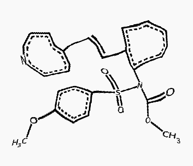 COC(=O)N(c1ccccc1C=Cc1ccncc1)S(=O)(=O)c1ccc(OC)cc1